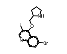 Brc1ccc2ncc(I)c(OCC3CCCN3)c2c1